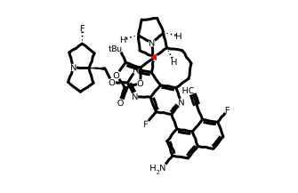 C#Cc1c(F)ccc2cc(N)cc(-c3nc4c5c(nc(OC[C@@]67CCCN6C[C@H](F)C7)nc5c3F)N3C[C@H]5CC[C@@H]([C@H]3CCC4)N5Cc3oc(=O)oc3C(C)(C)C)c12